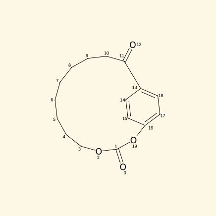 O=C1OCCCCCCCCC(=O)c2ccc(cc2)O1